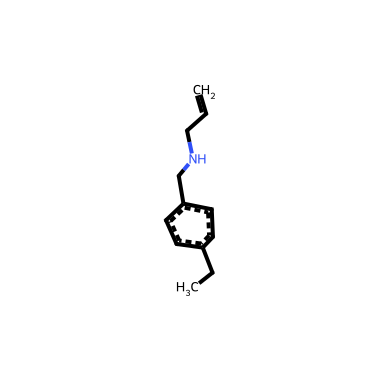 C=CCNCc1ccc(CC)cc1